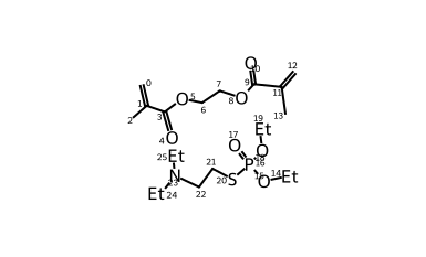 C=C(C)C(=O)OCCOC(=O)C(=C)C.CCOP(=O)(OCC)SCCN(CC)CC